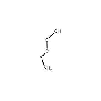 NSOOO